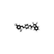 COc1ccc(Cl)cc1CCN1CCN(CC(=O)N2c3ccccc3[C@H](C)[C@@H]2C)CC1